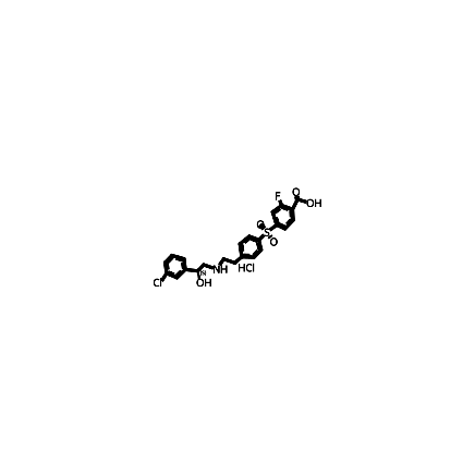 Cl.O=C(O)c1ccc(S(=O)(=O)c2ccc(CCNC[C@@H](O)c3cccc(Cl)c3)cc2)cc1F